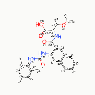 Cc1cc(C)c(NC(=O)Nc2cc3ccccc3cc2C(=O)N[C@H](C(=O)O)C(C)OC(C)C)c(C)c1